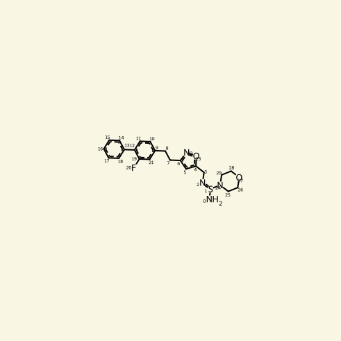 NS(=NCc1cc(CCc2ccc(-c3ccccc3)c(F)c2)no1)N1CCOCC1